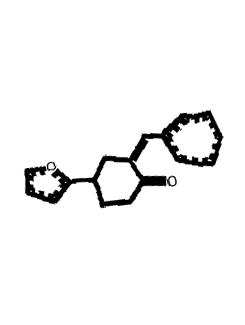 O=C1CCC(c2ccco2)C/C1=C/c1ccccc1